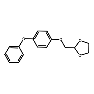 c1ccc(Oc2ccc(OCC3OCCO3)cc2)cc1